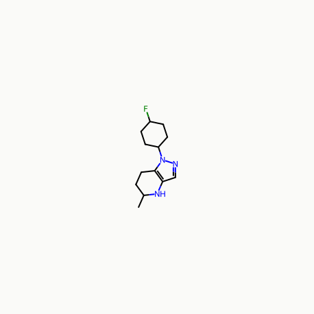 CC1CCc2c(cnn2C2CCC(F)CC2)N1